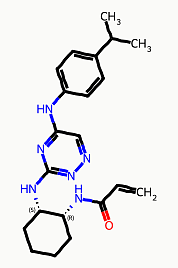 C=CC(=O)N[C@@H]1CCCC[C@@H]1Nc1nncc(Nc2ccc(C(C)C)cc2)n1